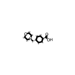 O=C(O)[C@H]1CC[C@H](CN2CCOCC2)CC1